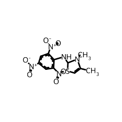 CC1=CSC(Nc2c([N+](=O)[O-])cc([N+](=O)[O-])cc2[N+](=O)[O-])N1C